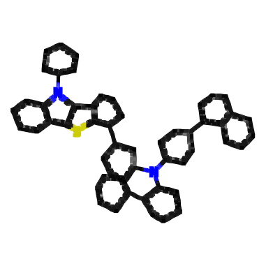 c1ccc(-c2ccccc2N(c2ccc(-c3cccc4ccccc34)cc2)c2cccc(-c3cccc4c3sc3c5ccccc5n(-c5ccccc5)c43)c2)cc1